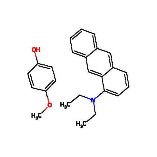 CCN(CC)c1cccc2cc3ccccc3cc12.COc1ccc(O)cc1